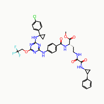 COC(=O)[C@H](CCNC(=O)C(=O)N[C@H]1C[C@H]1c1ccccc1)NC(=O)c1ccc(Nc2nc(NC3(c4ccc(Cl)cc4)CC3)nc(OCC(F)(F)F)n2)cc1